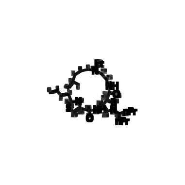 C=C/C=C1\C=C(/C)CCCN(CC)CCNC(=O)c2bn(C(CCC)CCC)cc2NC(=O)c2csc1n2